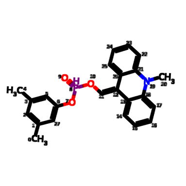 Cc1cc(C)cc(O[PH](=O)OC=C2c3ccccc3N(C)c3ccccc32)c1